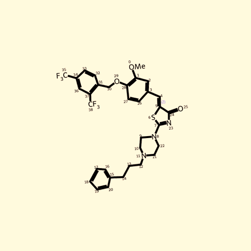 COc1cc(/C=C2\SC(N3CCN(CCCc4ccccc4)CC3)=NC2=O)ccc1OCc1ccc(C(F)(F)F)cc1C(F)(F)F